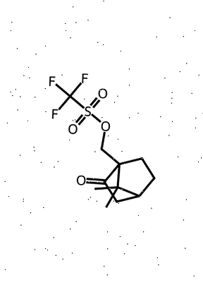 CC1(C)C2CCC1(COS(=O)(=O)C(F)(F)F)C(=O)C2